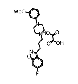 COc1cccc(N2CCN(CCCc3noc4cc(F)ccc34)CC2)c1.O=C(O)C(=O)O